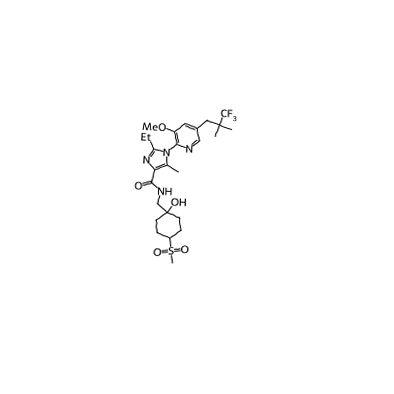 CCc1nc(C(=O)NCC2(O)CCC(S(C)(=O)=O)CC2)c(C)n1-c1ncc(CC(C)(C)C(F)(F)F)cc1OC